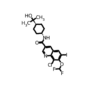 CC(C)(O)[C@H]1CC[C@H](NC(=O)c2cnc3c(Cl)c(OC(F)F)c(I)cc3c2)CC1